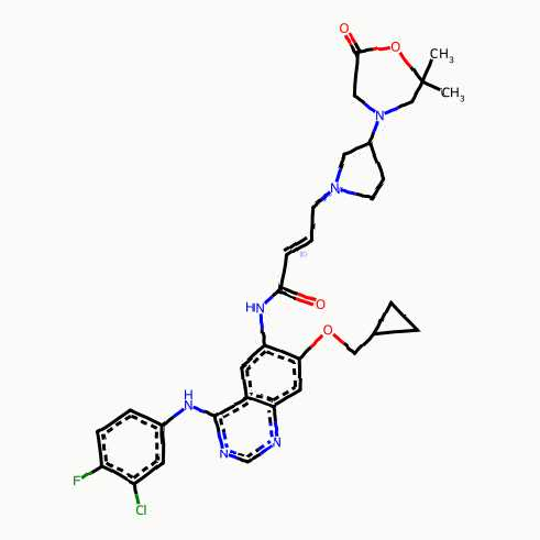 CC1(C)CN(C2CCN(C/C=C/C(=O)Nc3cc4c(Nc5ccc(F)c(Cl)c5)ncnc4cc3OCC3CC3)C2)CC(=O)O1